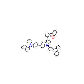 c1ccc(N(c2ccc(-c3ccc4c(c3)c3cc(-c5cccc6c5oc5ccccc56)ccc3n4-c3ccc4c5ccccc5c5ccccc5c4c3)cc2)c2cccc3ccccc23)cc1